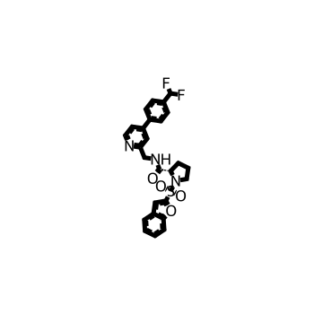 O=C(NCc1cc(-c2ccc(C(F)F)cc2)ccn1)[C@@H]1CCCN1S(=O)(=O)c1cc2ccccc2o1